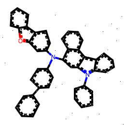 c1ccc(-c2ccc(N(c3ccc4c(c3)oc3ccccc34)c3cc4c(c5ccccc35)c3ccccc3n4-c3ccccc3)cc2)cc1